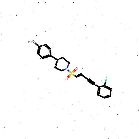 COc1ccc(C2CCN(S(=O)(=O)C=CC#Cc3ccccc3F)CC2)cc1